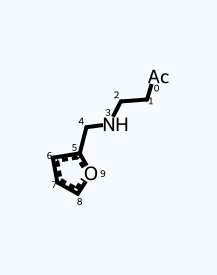 CC(=O)CCNCc1ccco1